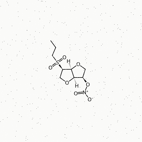 CCCS(=O)(=O)[C@@H]1CO[C@H]2[C@@H]1OC[C@H]2O[N+](=O)[O-]